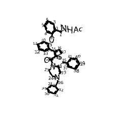 CC(=O)NCc1ccccc1Oc1ccccc1-c1ccsc1C(=O)N1CCN(Cc2ccccc2)C[C@H]1Cc1ccccc1